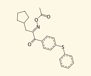 CC(=O)ON=C(CC1CCCC1)C(=O)c1ccc(Sc2ccccc2)cc1